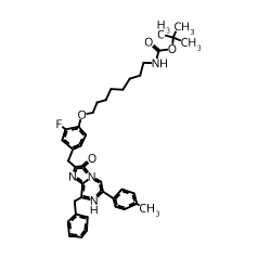 Cc1ccc(-c2cn3c(=O)c(Cc4ccc(OCCCCCCCCNC(=O)OC(C)(C)C)c(F)c4)nc-3c(Cc3ccccc3)[nH]2)cc1